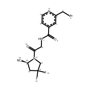 CC(C)Cc1cc(C(=O)NCC(=O)N2CC(F)(F)C[C@H]2C#N)ccn1